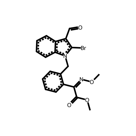 CON=C(C(=O)OC)c1ccccc1Cn1c(Br)c(C=O)c2ccccc21